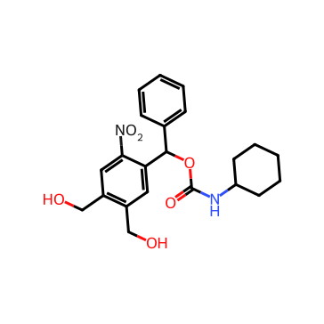 O=C(NC1CCCCC1)OC(c1ccccc1)c1cc(CO)c(CO)cc1[N+](=O)[O-]